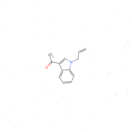 C=CCn1cc(C(=O)C(F)(F)F)c2ccccc21